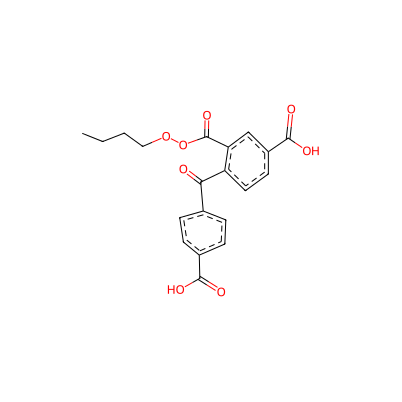 CCCCOOC(=O)c1cc(C(=O)O)ccc1C(=O)c1ccc(C(=O)O)cc1